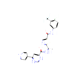 C[C@@H](NC(=O)c1cc(-c2ccncc2)ncn1)c1ncc(C(=O)Nc2ccc(Cl)c(C(F)(F)F)c2)s1